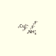 [Cu+2].[F-].[F-].[F-].[NH4+]